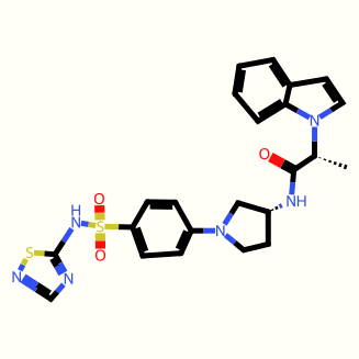 C[C@H](C(=O)N[C@@H]1CCN(c2ccc(S(=O)(=O)Nc3ncns3)cc2)C1)n1ccc2ccccc21